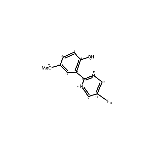 COc1ccc(O)c(-c2ncc(F)cn2)c1